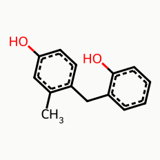 Cc1cc(O)ccc1Cc1ccccc1O